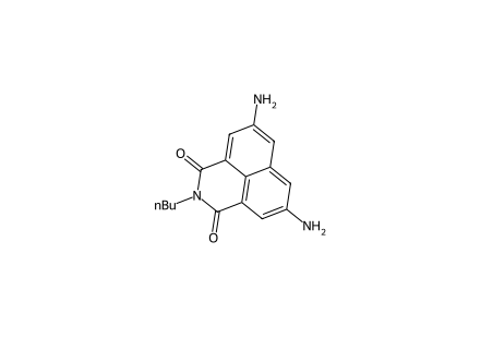 CCCCN1C(=O)c2cc(N)cc3cc(N)cc(c23)C1=O